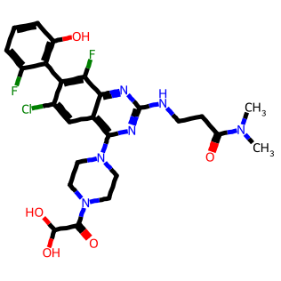 CN(C)C(=O)CCNc1nc(N2CCN(C(=O)C(O)O)CC2)c2cc(Cl)c(-c3c(O)cccc3F)c(F)c2n1